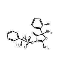 BC1(c2ccccc2Br)OC(N)=C(OS(=O)(=O)C(B)(B)c2ccccc2)C1=O